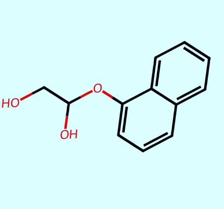 OCC(O)Oc1cccc2ccccc12